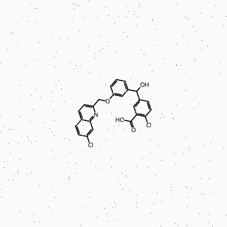 O=C(O)c1cc(C(O)c2cccc(OCc3ccc4ccc(Cl)cc4n3)c2)ccc1Cl